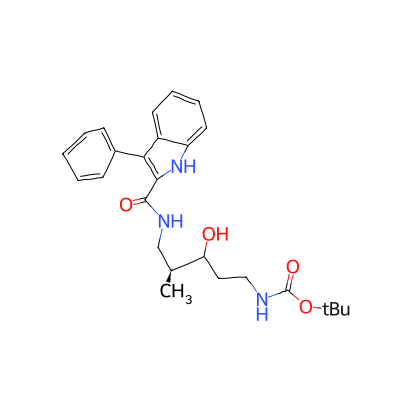 C[C@@H](CNC(=O)c1[nH]c2ccccc2c1-c1ccccc1)C(O)CCNC(=O)OC(C)(C)C